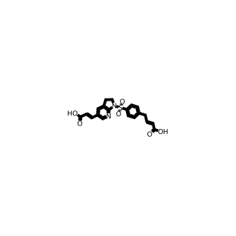 O=C(O)C=CCc1ccc(S(=O)(=O)N2CCc3cc(C=CC(=O)O)cnc32)cc1